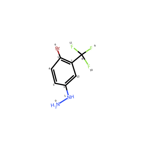 NNc1ccc(Br)c(C(F)(F)F)c1